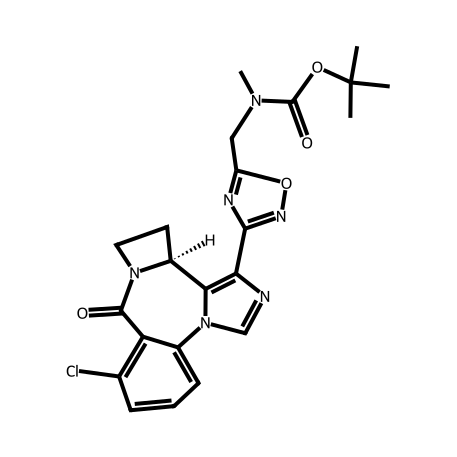 CN(Cc1nc(-c2ncn3c2[C@@H]2CCN2C(=O)c2c(Cl)cccc2-3)no1)C(=O)OC(C)(C)C